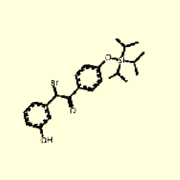 CC(C)[Si](Oc1ccc(C(=O)C(Br)c2cccc(O)c2)cc1)(C(C)C)C(C)C